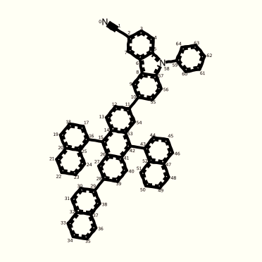 N#Cc1ccc2c(c1)c1cc(-c3ccc4c(-c5cccc6ccccc56)c5cc(-c6ccc7ccccc7c6)ccc5c(-c5cccc6ccccc56)c4c3)ccc1n2-c1ccccc1